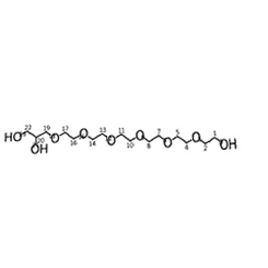 OCCOCCOCCOCCOCCOCCOCC(O)CO